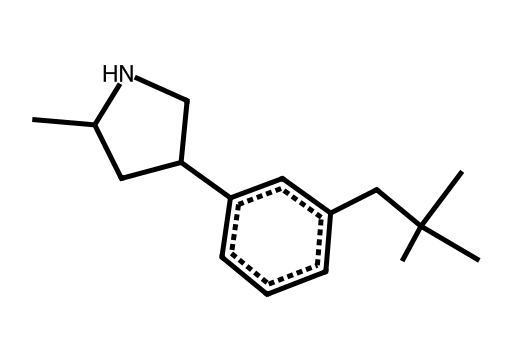 CC1CC(c2cccc(CC(C)(C)C)c2)CN1